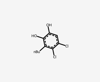 CCCCc1c(O)c(O)cc(Cl)c1Cl